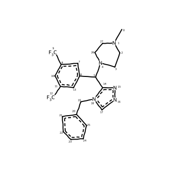 CN1CCN(C(c2cc(C(F)(F)F)cc(C(F)(F)F)c2)c2nncn2Cc2ccccc2)CC1